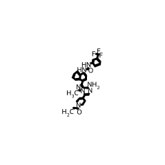 C=CC(=O)N1CC=C(c2cnc(N)c3c(-c4ccc(NC(=O)Nc5cccc(C(F)(F)F)c5)c5ccccc45)nc(C)n23)CC1